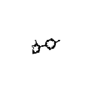 Cc1ccc(-c2ccsc2C)cc1